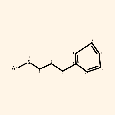 CC(=O)SCCCc1ccccc1